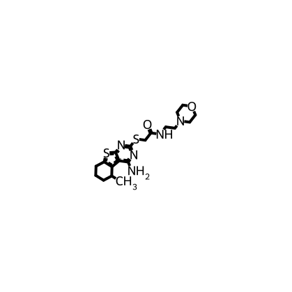 CC1CCCc2sc3nc(SCC(=O)NCCN4CCOCC4)nc(N)c3c21